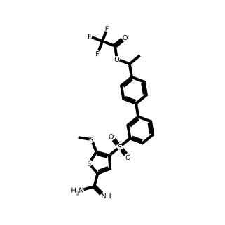 CSc1sc(C(=N)N)cc1S(=O)(=O)c1cccc(-c2ccc(C(C)OC(=O)C(F)(F)F)cc2)c1